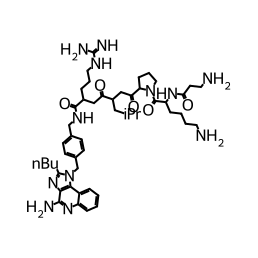 CCCCc1nc2c(N)nc3ccccc3c2n1Cc1ccc(CNC(=O)C(CCCNC(=N)N)CC(=O)C(CC(=O)C2CCCN2C(=O)C(CCCCN)NC(=O)CCN)CC(C)C)cc1